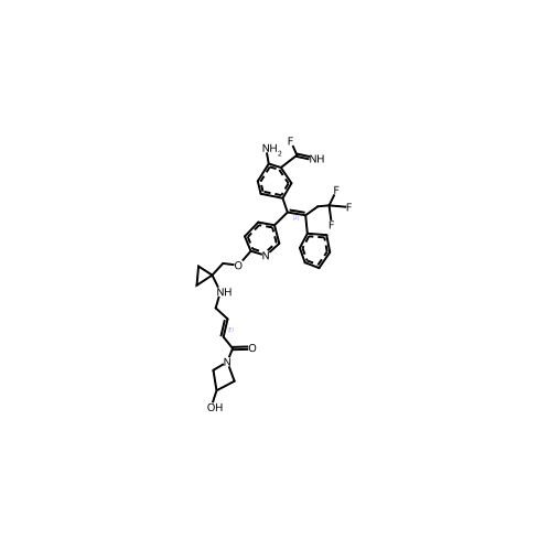 N=C(F)c1cc(/C(=C(\CC(F)(F)F)c2ccccc2)c2ccc(OCC3(NC/C=C/C(=O)N4CC(O)C4)CC3)nc2)ccc1N